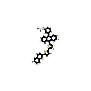 Cc1cccc(-c2c3ccccc3c(-c3ccc(-c4ccc(-c5ccc6ccccc6c5)s4)s3)c3ccccc23)c1